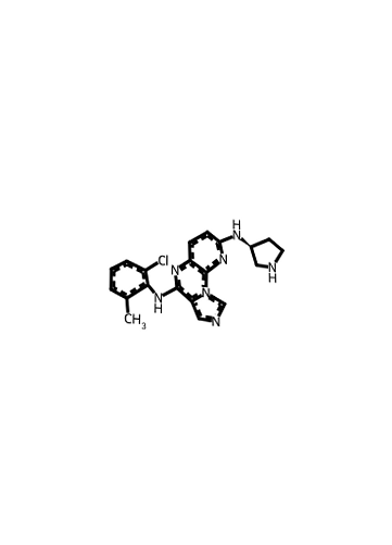 Cc1cccc(Cl)c1Nc1nc2ccc(N[C@H]3CCNC3)nc2n2cncc12